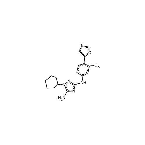 COc1cc(Nc2nc(N)n(C3CCCCC3)n2)ccc1-c1cnco1